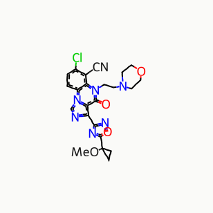 COC1(c2nc(-c3ncn4c3c(=O)n(CCN3CCOCC3)c3c(C#N)c(Cl)ccc34)no2)CC1